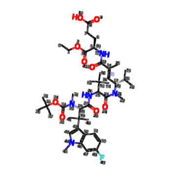 CCOC(=O)[C@@H](CCC(=O)O)NC(=O)/C(C)=C/[C@H](C(C)C)N(C)C(=O)C(NC(=O)[C@@H](N(C)C(=O)OC(C)(C)C)C(C)(C)c1cn(C)c2cc(F)ccc12)C(C)(C)C